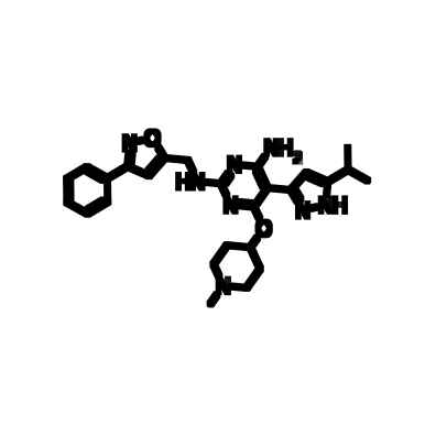 CC(C)c1cc(-c2c(N)nc(NCc3cc(-c4ccccc4)no3)nc2OC2CCN(C)CC2)n[nH]1